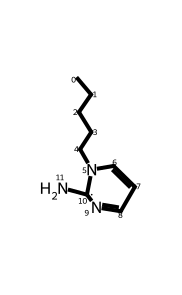 CCCCCN1C=CC=N[C]1N